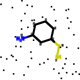 NC1CCCC(SS)C1